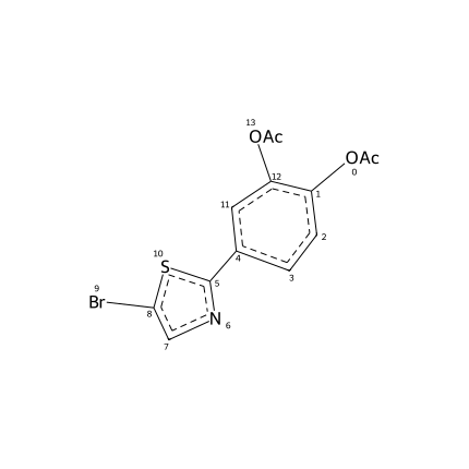 CC(=O)Oc1ccc(-c2ncc(Br)s2)cc1OC(C)=O